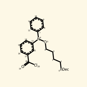 CCCCCCCCCCCCCCON(c1ccccc1)c1cccc(C(=O)Cl)c1